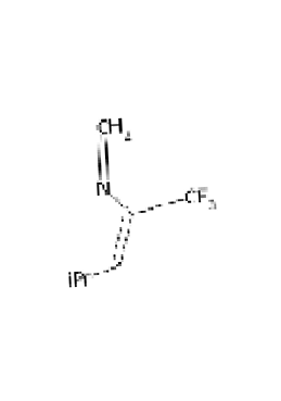 C=N/C(=C\C(C)C)C(F)(F)F